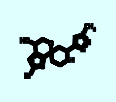 Cn1cc(C2CC3(CCN2)OCC(O)c2cc(Br)sc23)nn1